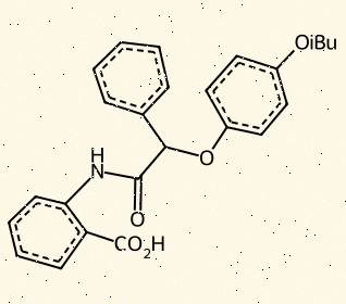 CC(C)COc1ccc(OC(C(=O)Nc2ccccc2C(=O)O)c2ccccc2)cc1